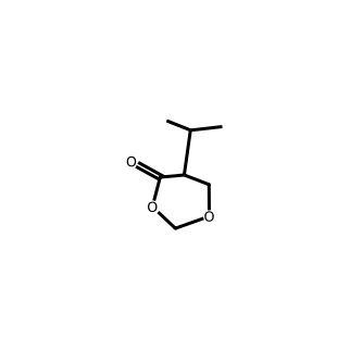 CC(C)C1COCOC1=O